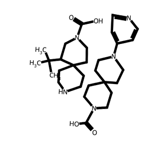 CC(C)(C)C1CN(C(=O)O)CCC12CCNCC2.O=C(O)N1CCC2(CC1)CCN(c1ccncc1)CC2